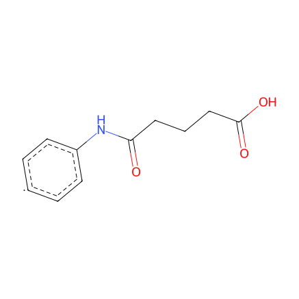 O=C(O)CCCC(=O)Nc1cc[c]cc1